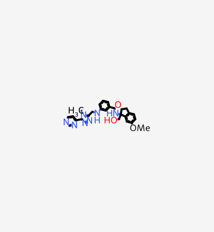 COc1ccc2c(c1)C(CO)(NC(=O)c1cccc(NCc3nnc(-c4ccncn4)n3C)c1)CC2